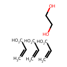 C=CC(=O)O.C=CC(=O)O.C=CC(=O)O.OCCO